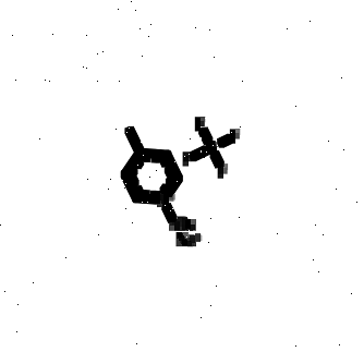 CCCC[n+]1ccc(C)cc1.F[B-](F)(F)F.[Na+]